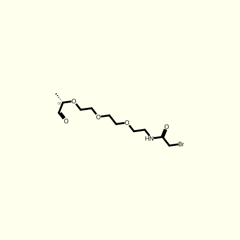 C[C@@H](C=O)OCCOCCOCCNC(=O)CBr